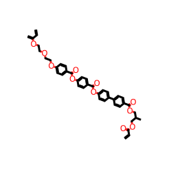 C=CC(=C)OCCOCCOc1ccc(C(=O)Oc2ccc(C(=O)Oc3ccc(-c4ccc(C(=O)OCC(C)COC(=O)C=C)cc4)cc3)cc2)cc1